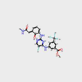 CNC(=O)C=C1C=CC=C(Nc2ncc(F)c(Nc3cc(C(=O)OC)cc(C(F)(F)F)c3)n2)C1=O